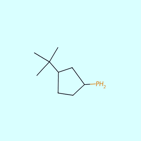 CC(C)(C)C1CCC(P)C1